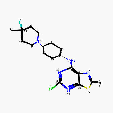 CCc1nc2c(N[C@H]3CC[C@@H](N4CCC(C)(F)CC4)CC3)nc(Cl)nc2s1